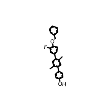 Cc1cc(-c2ccc(OCc3ccccc3)c(F)c2)c(C)cc1-c1ccc(O)cc1